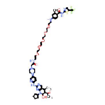 CC(=O)C1=C(C)c2cnc(Nc3ccc(N4CCN(CC(=O)NCCOCCOCCOCCOCCOCCNc5ccc(C(=O)Nc6ncc(C(F)(F)F)s6)c(C)c5)CC4)cn3)nc2N(C2CCCC2)C1O